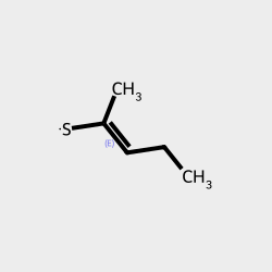 CC/C=C(\C)[S]